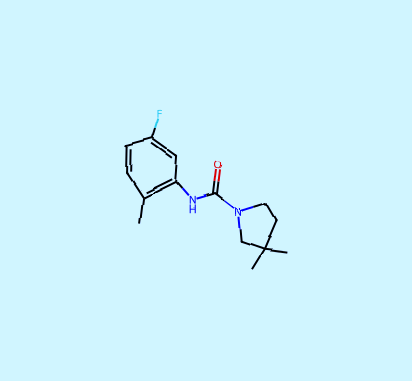 Cc1ccc(F)cc1NC(=O)N1CCC(C)(C)C1